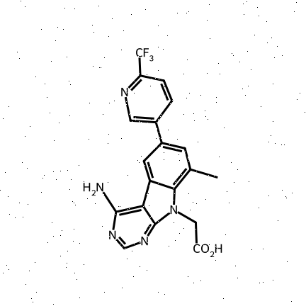 Cc1cc(-c2ccc(C(F)(F)F)nc2)cc2c3c(N)ncnc3n(CC(=O)O)c12